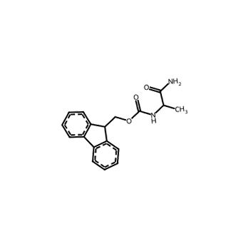 CC(NC(=O)OCC1c2ccccc2-c2ccccc21)C(N)=O